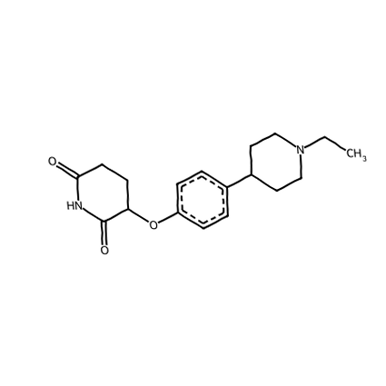 CCN1CCC(c2ccc(OC3CCC(=O)NC3=O)cc2)CC1